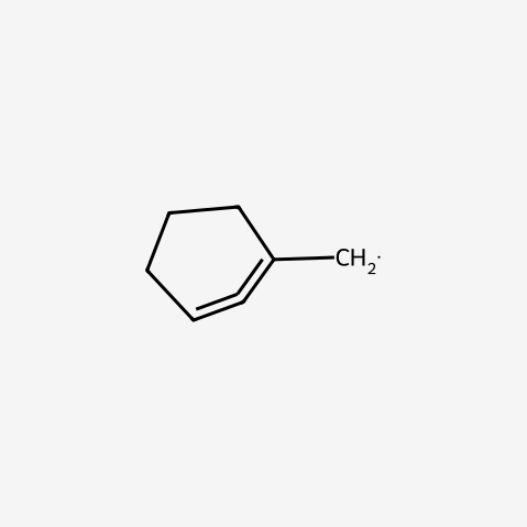 [CH2]C1=C=CCCC1